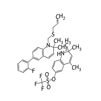 C=CCSCN1c2ccc(-c3ccccc3F)cc2C=CC1(C)C.CC1=CC(C)(C)Nc2ccc(OS(=O)(=O)C(F)(F)F)cc21